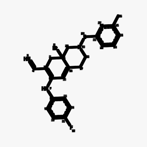 CCC12CC(C=N)=C(Nc3ccc(F)cc3)C=C1CCN(Sc1cccc(C)n1)C2